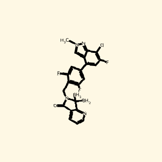 BC1(B)c2ncccc2C(=O)N1Cc1c(F)cc(-c2cc(F)c(Cl)c3nn(C)cc23)cc1F